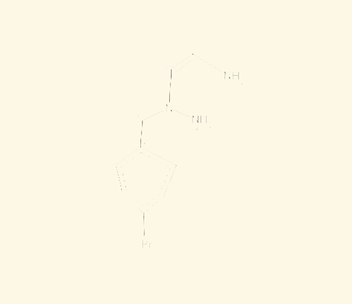 N/C=C\N(N)Cc1ccc(Br)cc1